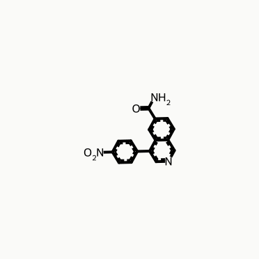 NC(=O)c1ccc2cncc(-c3ccc([N+](=O)[O-])cc3)c2c1